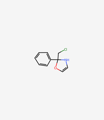 ClCC1(c2ccccc2)NC=CO1